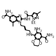 CCn1nc(C)cc1C(=O)Nc1nc2cc(C(N)=O)cc(C)c2n1CC=CCNc1c(N)cc(C(N)=O)c2c1OCCO2